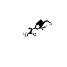 CC(C(=O)O)c1ccc(CF)c(F)c1